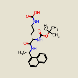 C[C@H](NC(=O)[C@H](CCCNC(=O)O)NC(=O)OC(C)(C)C)c1cccc2ccccc12